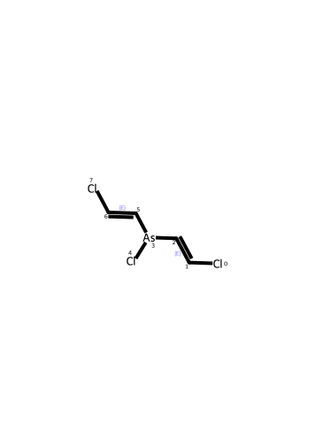 Cl/C=C/[As](Cl)/C=C/Cl